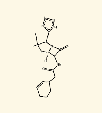 CC1(C)S[C@@H]2C(NC(=O)CC3C=CCCC3)C(=O)N2C1c1nnn[nH]1